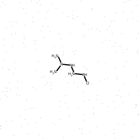 [SiH3]N([SiH3])N[SiH2]BCl